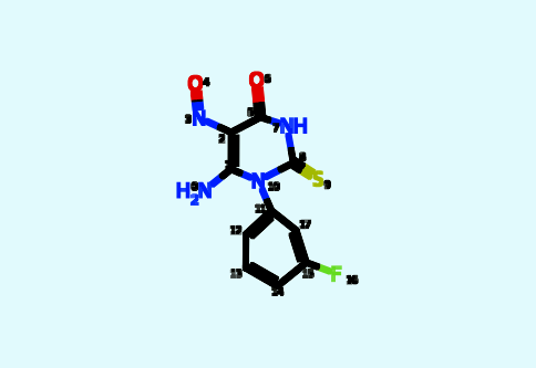 Nc1c(N=O)c(=O)[nH]c(=S)n1-c1cccc(F)c1